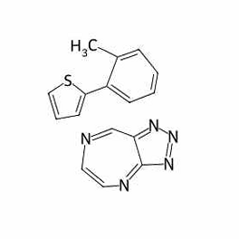 Cc1ccccc1-c1cccs1.c1cnc2nnnc-2cn1